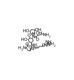 C[C@]1(O)CO[C@H](O[C@@H]2[C@@H](O)[C@H](O[C@H]3OC(CNCCCONC(=N)N)=CC[C@H]3N)[C@@H](N)C[C@H]2NC(=O)[C@@H](O)CCN)[C@H](O)C1